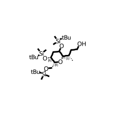 C[C@@H](CCO)[C@@H]1O[C@H](CO[Si](C)(C)C(C)(C)C)[C@H](O[Si](C)(C)C(C)(C)C)CC1O[Si](C)(C)C(C)(C)C